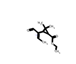 C/C=C(/C=O)C1C(C(=O)OCC)C1(C)C